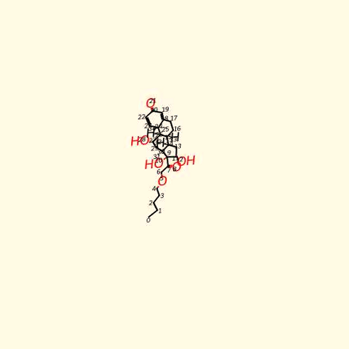 CCCCCOCC(=O)[C@@]1(O)[C@H](O)C[C@H]2[C@@H]3CCC4=CC(=O)C=C[C@]4(C)[C@H]3[C@@H](O)C[C@@]21C